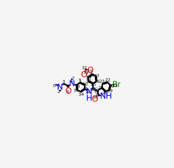 CN(C)CC(=O)N(C)c1ccc(N/C(=C2\C(=O)Nc3cc(Br)ccc32)c2ccc3c(c2)OCO3)cc1